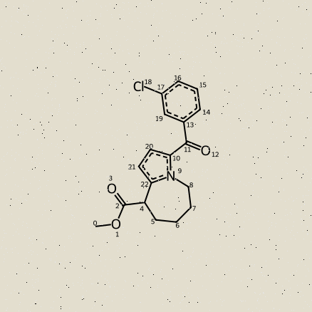 COC(=O)C1CCCCn2c(C(=O)c3cccc(Cl)c3)ccc21